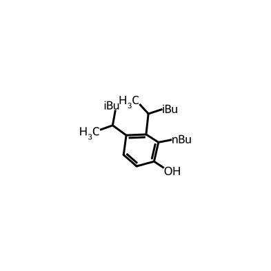 CCCCc1c(O)ccc(C(C)C(C)CC)c1C(C)C(C)CC